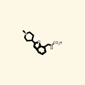 CN1CCC(c2cc3cccc(CNC(=O)O)c3o2)CC1